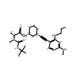 CCCNc1nc(NC)ncc1C#C[C@@H]1CCC[C@H](NC(=O)[C@H](C)N(C)C(=O)OC(C)(C)C)C1